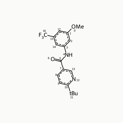 COc1cc(NC(=O)c2ccc(C(C)(C)C)nc2)cc(C(F)(F)F)c1